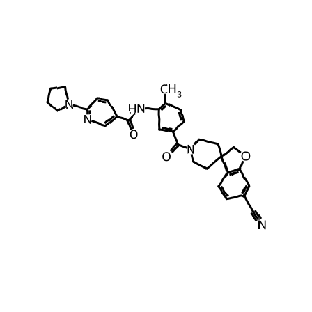 Cc1ccc(C(=O)N2CCC3(CC2)COc2cc(C#N)ccc23)cc1NC(=O)c1ccc(N2CCCC2)nc1